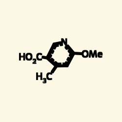 COc1cc(C)c(C(=O)O)cn1